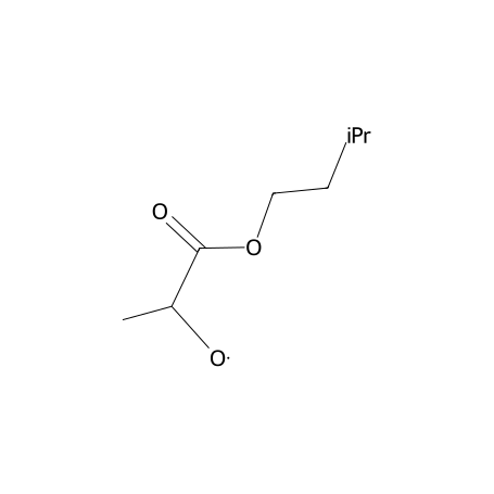 CC(C)CCOC(=O)C(C)[O]